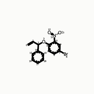 C=CC(Oc1ccc(Br)cc1[N+](=O)[O-])c1ccccc1